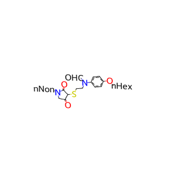 CCCCCCCCCN1CC(=O)C(SCCN(C=O)c2ccc(OCCCCCC)cc2)C1=O